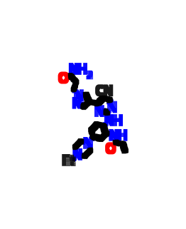 C=CC(=O)Nc1cc(N2CCN(CC)CC2)ccc1Nc1ncc(C#N)c(-c2cnn(CCC(N)=O)c2)n1